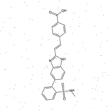 CNS(=O)(=O)c1ccccc1-c1ccc2[nH]c(C=Cc3ccc(C(=O)O)cc3)nc2c1